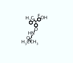 CCC(=C(c1ccc(OCCNCC=CC(=O)N(C)C)cc1)c1ccc(O)c(F)c1)c1ccccc1